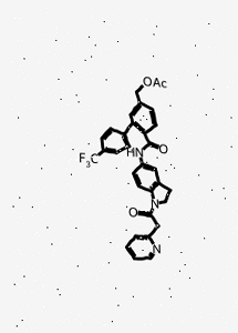 CC(=O)OCc1ccc(C(=O)Nc2ccc3c(c2)CCN3C(=O)Cc2ccccn2)c(-c2ccc(C(F)(F)F)cc2)c1